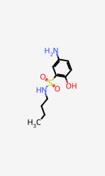 CCCCNS(=O)(=O)c1cc(N)ccc1O